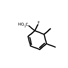 CC1=CC=CC(F)(C(=O)O)C1C